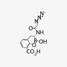 [N-]=[N+]=NCC(=O)N[C@H]1Cc2cccc(C(=O)O)c2OB1O